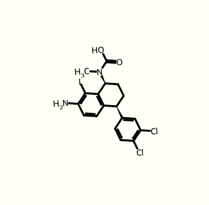 CN(C(=O)O)[C@H]1CC[C@@H](c2ccc(Cl)c(Cl)c2)c2ccc(N)c(I)c21